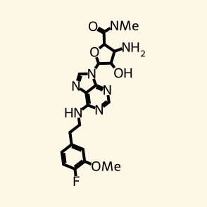 CNC(=O)C1OC(n2cnc3c(NCCc4ccc(F)c(OC)c4)ncnc32)C(O)C1N